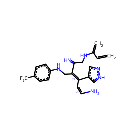 C=CC(=C)NCC(=N)/C(CNc1ccc(C(F)(F)F)cc1)=C(/C=C\N)c1cn[nH]c1